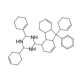 C1=CC(C2(c3ccccc3)C3C=CCCC3C3C(C4NC(C5=CCCCC5)NC(C5CC=CCC5)N4)CC=CC32)CCC1